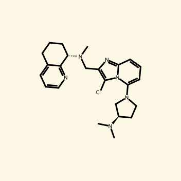 CN(C)[C@@H]1CCN(c2cccc3nc(CN(C)[C@H]4CCCc5cccnc54)c(Cl)n23)C1